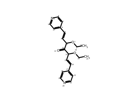 CCOC(C=Cc1ccncc1)C(=O)C(C=Cc1ccncc1)OCC